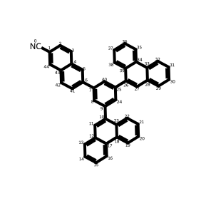 N#Cc1ccc2cc(-c3cc(-c4cc5ccccc5c5ccccc45)cc(-c4cc5ccccc5c5ccccc45)c3)ccc2c1